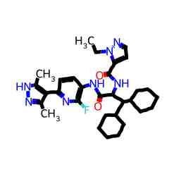 CCn1nccc1C(=O)NC(C(=O)Nc1ccc(-c2c(C)n[nH]c2C)nc1F)C(C1CCCCC1)C1CCCCC1